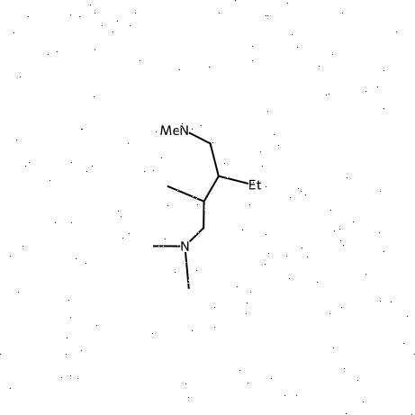 CCC(CNC)C(C)CN(C)C